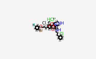 CC(C)(OC(=O)N1C2CNC[C@@H]1C(C(=O)NCCCc1ccccc1Cl)=C(c1ccc(CCCOc3cc(F)ccc3Br)cc1)C2)C(Cl)(Cl)Cl.Cl